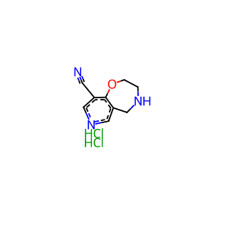 Cl.Cl.N#Cc1cncc2c1OCCNC2